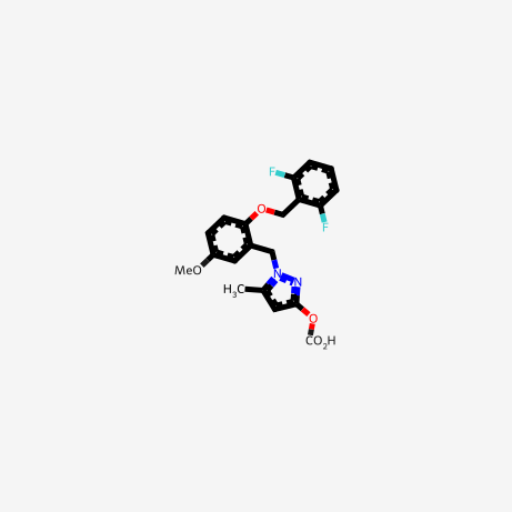 COc1ccc(OCc2c(F)cccc2F)c(Cn2nc(OC(=O)O)cc2C)c1